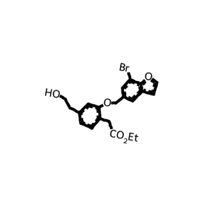 CCOC(=O)Cc1ccc(CCO)cc1OCc1cc(Br)c2occc2c1